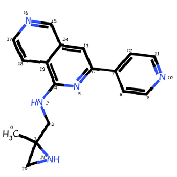 CC1(CNc2nc(-c3ccncc3)cc3cnccc23)CN1